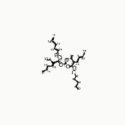 CCCCCOOC(OC(=O)OC(OOCCCCC)C(CC)CCCC)C(CC)CCCC